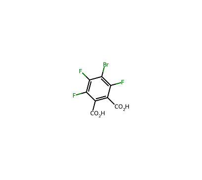 O=C(O)c1c(F)c(F)c(Br)c(F)c1C(=O)O